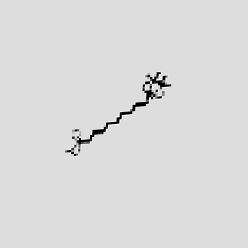 COC(=O)CCCCCCC/C=C/B1OC(C)(C)C(C)(C)O1